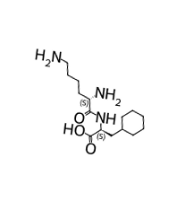 NCCCC[C@H](N)C(=O)N[C@@H](CC1CCCCC1)C(=O)O